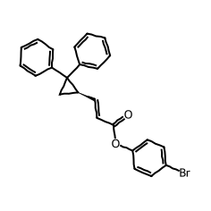 O=C(C=C[C@H]1CC1(c1ccccc1)c1ccccc1)Oc1ccc(Br)cc1